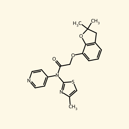 Cc1csc(N(C(=O)COc2cccc3c2OC(C)(C)C3)c2ccncc2)n1